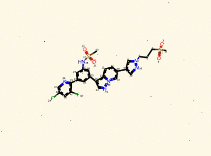 CS(=O)(=O)CCCn1cc(-c2ccc3c(-c4cc(NS(C)(=O)=O)cc(-c5ncc(F)cc5F)c4)cnn3c2)cn1